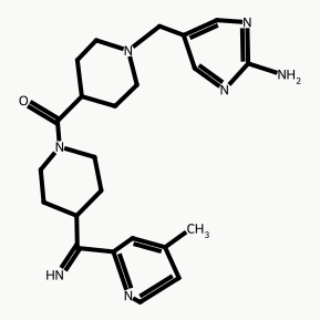 Cc1ccnc(C(=N)C2CCN(C(=O)C3CCN(Cc4cnc(N)nc4)CC3)CC2)c1